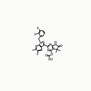 Cc1nc2c(cc1F)c(-c1nc3c(c(OC(=O)O)n1)C(C)(C)C(=O)N3)nn2Cc1cccc(F)c1F